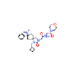 CN(C)C1(c2ccccc2)CCC2(CC1)CN(CC(=O)NCC(=O)N1CCOCC1)C(=O)N2CC1CCC1